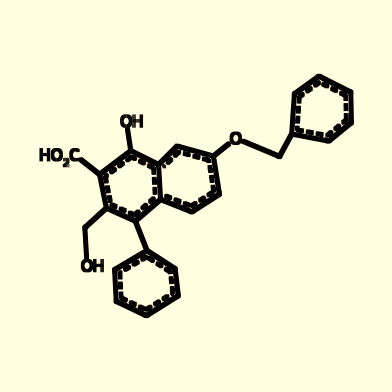 O=C(O)c1c(CO)c(-c2ccccc2)c2ccc(OCc3ccccc3)cc2c1O